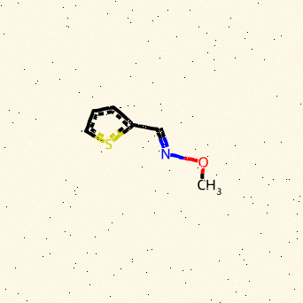 CON=Cc1cc[c]s1